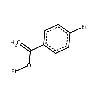 C=C(OCC)c1ccc(CC)cc1